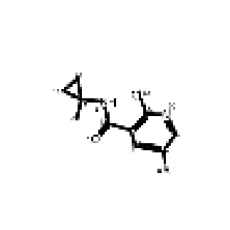 CC1(NC(=O)c2cc(Br)cnc2Cl)CC1